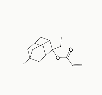 C=CC(=O)OC1(CC)C2CC3CC1CC(C)(C3)C2